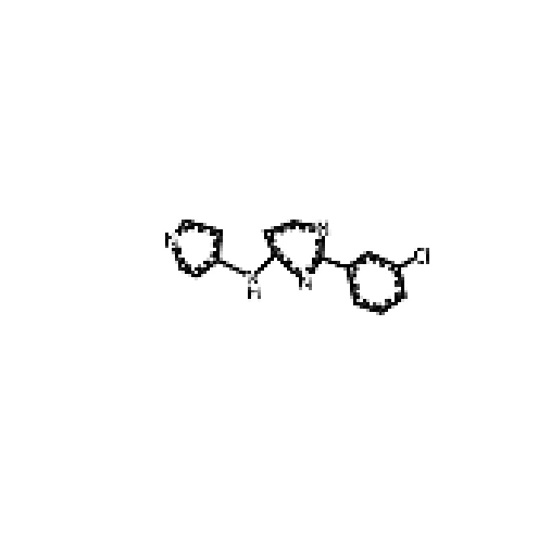 Clc1cccc(-c2nccc(Nc3ccncc3)n2)c1